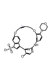 CCS(=O)(=O)n1cc2c3ccc(cc31)OC/C=C\CCOc1cc(ccc1N1CCOCC1)Nc1ncc(Cl)c-2n1